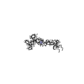 [2H]/C(=C(/[2H])c1ccc2c(c1)C(C)(C)c1cc3c(cc1-2)c(C)c(C)n3-c1ccccc1)c1ccc(N(c2ccccc2)c2ccc3c(c2)c2ccccc2n3-c2ccccc2)cc1